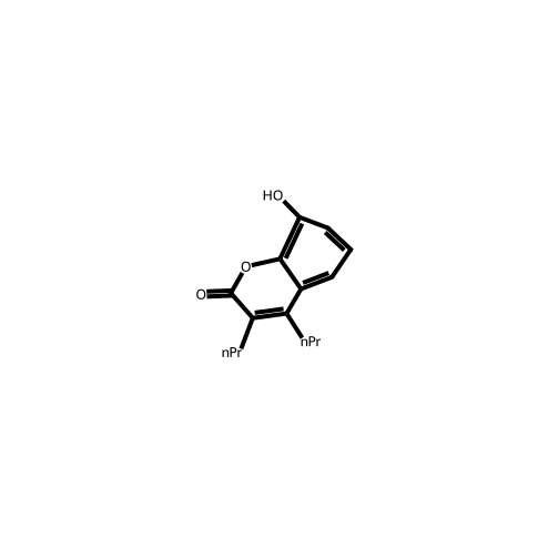 CCCc1c(CCC)c2cccc(O)c2oc1=O